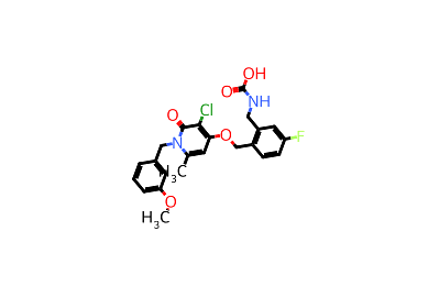 COc1cccc(Cn2c(C)cc(OCc3ccc(F)cc3CNC(=O)O)c(Cl)c2=O)c1